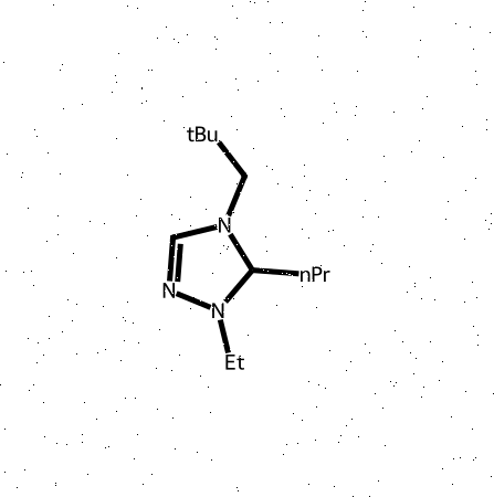 CCCC1N(CC(C)(C)C)C=NN1CC